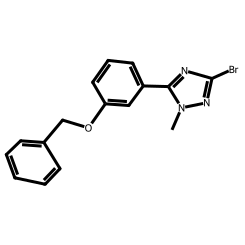 Cn1nc(Br)nc1-c1cccc(OCc2ccccc2)c1